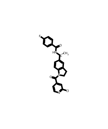 C[C@@H](NC(=O)c1ccc(F)cc1)c1ccc2c(c1)CCN2C(=O)c1ccnc(Cl)c1